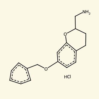 Cl.NCC1CCc2ccc(OCc3ccccc3)cc2O1